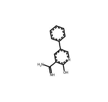 N=C(N)c1cc(-c2ccccc2)cnc1O